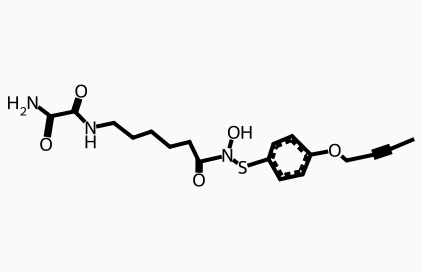 CC#CCOc1ccc(SN(O)C(=O)CCCCCNC(=O)C(N)=O)cc1